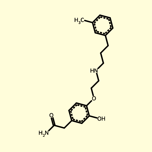 Cc1cccc(CCCNCCOc2ccc(CC(N)=O)cc2O)c1